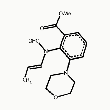 CC=CN(C=O)c1c(C(=O)OC)cccc1N1CCOCC1